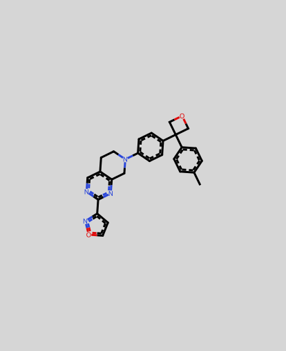 Cc1ccc(C2(c3ccc(N4CCc5cnc(-c6ccon6)nc5C4)cc3)COC2)cc1